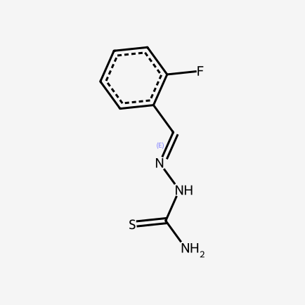 NC(=S)N/N=C/c1ccccc1F